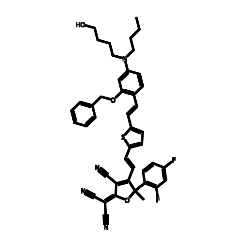 CCCCN(CCCCO)c1ccc(/C=C/c2ccc(/C=C/C3=C(C#N)C(=C(C#N)C#N)OC3(C)c3ccc(F)cc3F)s2)c(OCc2ccccc2)c1